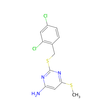 CSc1cc(N)nc(SCc2ccc(Cl)cc2Cl)n1